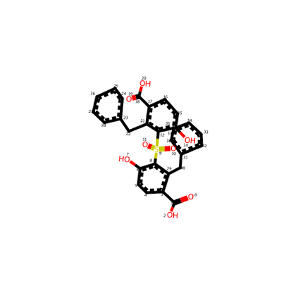 O=C(O)c1ccc(O)c(S(=O)(=O)c2c(O)ccc(C(=O)O)c2Cc2ccccc2)c1Cc1ccccc1